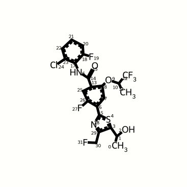 CC(O)c1sc(-c2cc(OC(C)C(F)(F)F)c(C(=O)Nc3c(F)cccc3Cl)cc2F)nc1CF